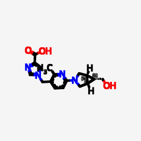 Cc1nc(N2C[C@@H]3[C@H](CO)[C@@H]3C2)ccc1Cn1cnc(C(=O)O)c1